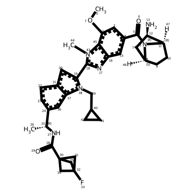 COc1cc(C(=O)N2[C@H]3CC[C@@H]2[C@H](N)C3)cc2nc(-c3cc4ccc([C@@H](C)NC(=O)C56CC(F)(C5)C6)cc4n3CC3CC3)n(C)c12